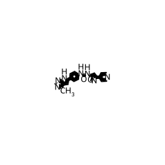 Cc1ncnc2[nH]c(-c3ccc(NC(=O)Nc4cc(-c5ccncc5)no4)cc3)cc12